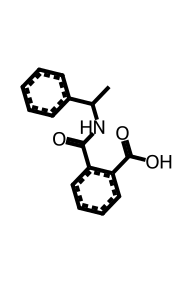 CC(NC(=O)c1ccccc1C(=O)O)c1ccccc1